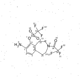 Nc1ccc2c(c1OS(=O)(=O)C(F)(F)F)CCN(C(=O)C(F)(F)F)CC2